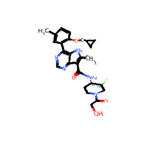 Cc1ccc(OCC2CC2)c(-c2ncnc3c(C(=O)N[C@H]4CCN(C(=O)CO)C[C@@H]4F)c(C)[nH]c23)c1